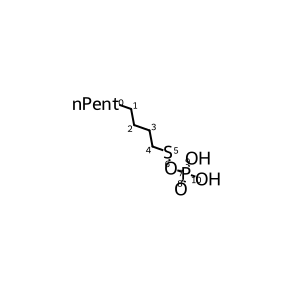 CCCCCCCCCSOP(=O)(O)O